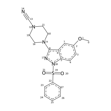 COc1ccc2c(c1)c(N1CCN(C#N)CC1)nn2S(=O)(=O)c1ccccc1